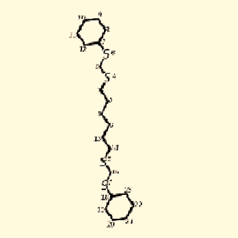 C(CCCSCSC1CCCCC1)CCSCSC1CCCCC1